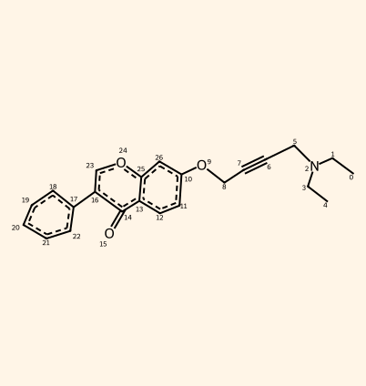 CCN(CC)CC#CCOc1ccc2c(=O)c(-c3ccccc3)coc2c1